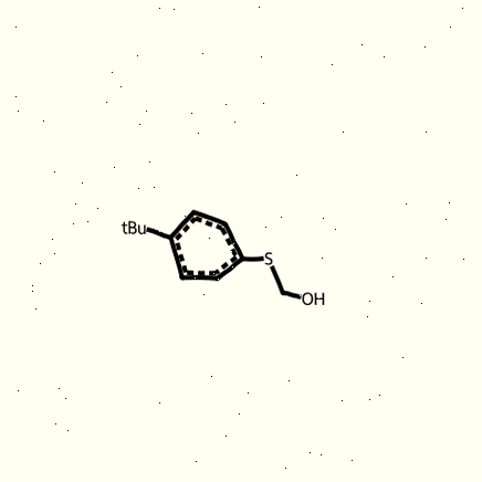 CC(C)(C)c1ccc(SCO)cc1